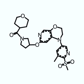 Cc1cc(N2CCOc3cnc(OC4CCN(C(=O)C5CCOCC5)C4)cc32)cnc1S(C)(=O)=O